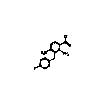 Nc1ccc([N+](=O)[O-])c(N)c1Cc1ccc(F)cc1